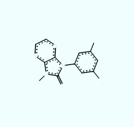 CC(C)n1c(=O)n(-c2cc(F)cc(F)c2)c2nccnc21